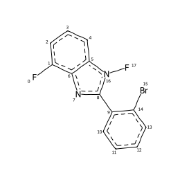 Fc1cccc2c1nc(-c1ccccc1Br)n2F